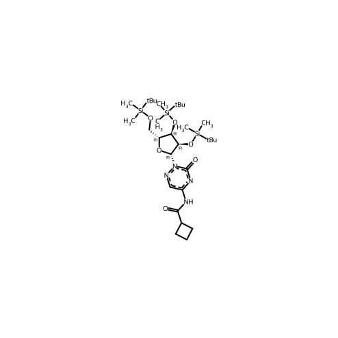 CC(C)(C)[Si](C)(C)OC[C@H]1O[C@@H](n2ncc(NC(=O)C3CCC3)nc2=O)[C@H](O[Si](C)(C)C(C)(C)C)[C@@H]1O[Si](C)(C)C(C)(C)C